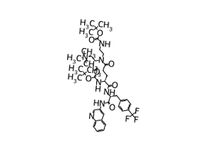 CC(C)(C)OC(=O)NCCN(CC[N+](C)(C)C)C(=O)CC[C@H](NC(=O)OC(C)(C)C)C(=O)N[C@@H](Cc1ccc(C(F)(F)F)cc1)C(=O)Nc1cnc2ccccc2c1